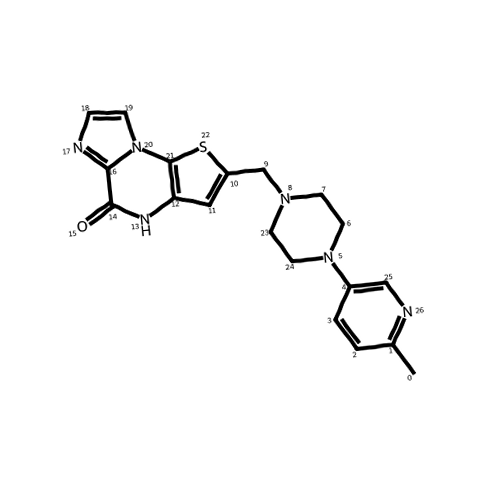 Cc1ccc(N2CCN(Cc3cc4[nH]c(=O)c5nccn5c4s3)CC2)cn1